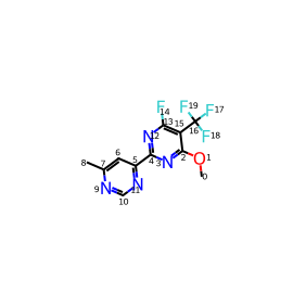 COc1nc(-c2cc(C)ncn2)nc(F)c1C(F)(F)F